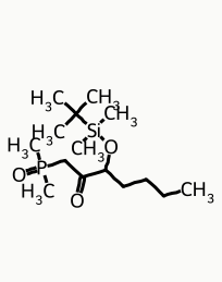 CCCCC(O[Si](C)(C)C(C)(C)C)C(=O)CP(C)(C)=O